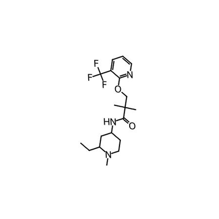 CCC1CC(NC(=O)C(C)(C)COc2ncccc2C(F)(F)F)CCN1C